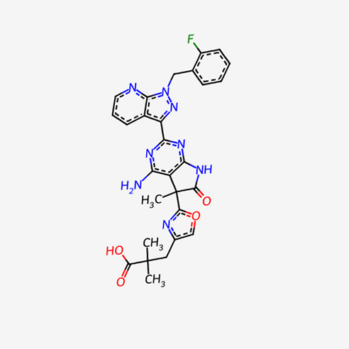 CC(C)(Cc1coc(C2(C)C(=O)Nc3nc(-c4nn(Cc5ccccc5F)c5ncccc45)nc(N)c32)n1)C(=O)O